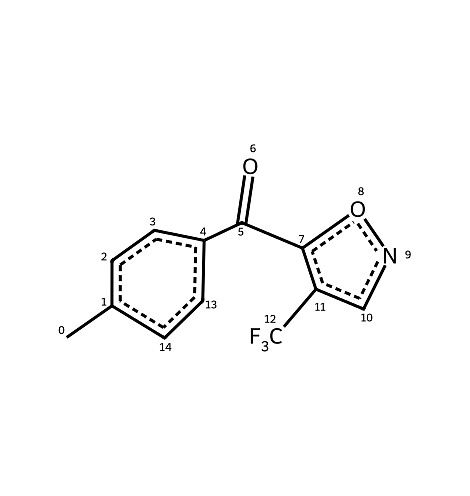 Cc1ccc(C(=O)c2oncc2C(F)(F)F)cc1